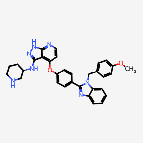 COc1ccc(Cn2c(-c3ccc(Oc4ccnc5[nH]nc(N[C@@H]6CCCNC6)c45)cc3)nc3ccccc32)cc1